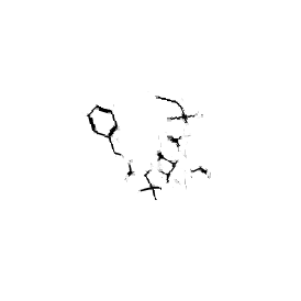 CC1(C)S[C@H]2N(C(=O)[C@@]2(NC=O)NC(=O)OC(Cl)(Cl)CCl)[C@H]1C(=O)OCc1ccccc1